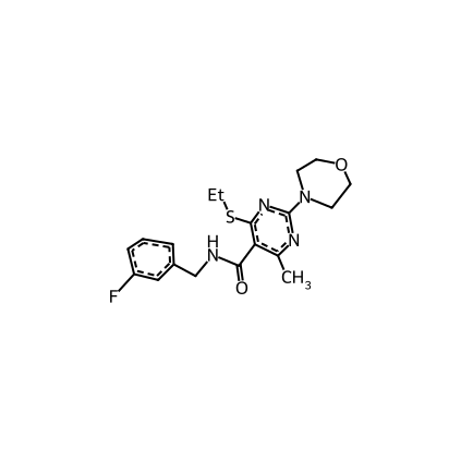 CCSc1nc(N2CCOCC2)nc(C)c1C(=O)NCc1cccc(F)c1